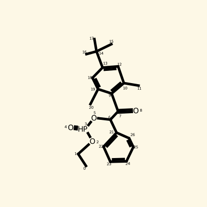 CCO[PH](=O)OC(C(=O)c1c(C)cc(C(C)(C)C)cc1C)c1ccccc1